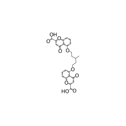 CC(CCOc1cccc2oc(C(=O)O)cc(=O)c12)CCOc1cccc2oc(C(=O)O)cc(=O)c12